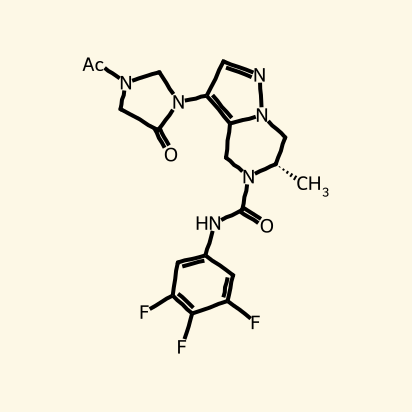 CC(=O)N1CC(=O)N(c2cnn3c2CN(C(=O)Nc2cc(F)c(F)c(F)c2)[C@@H](C)C3)C1